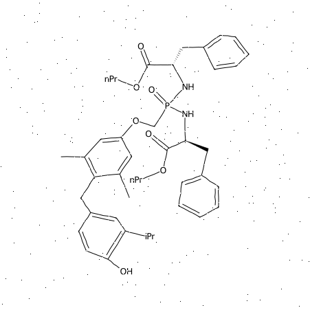 CCCOC(=O)[C@H](Cc1ccccc1)NP(=O)(COc1cc(C)c(Cc2ccc(O)c(C(C)C)c2)c(C)c1)N[C@@H](Cc1ccccc1)C(=O)OCCC